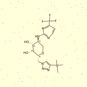 C[Si](C)(C)c1cn(C[C@H]2OC[C@H](Nc3nccc(C(F)(F)F)n3)[C@@H](O)[C@H]2O)nn1